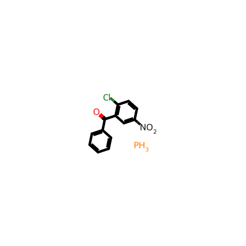 O=C(c1ccccc1)c1cc([N+](=O)[O-])ccc1Cl.P